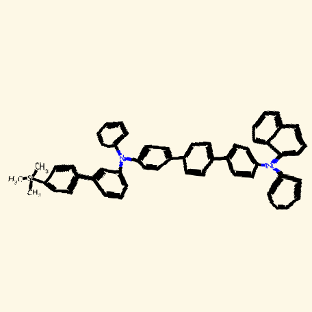 C[Si](C)(C)c1ccc(-c2cccc(N(c3ccccc3)c3ccc(-c4ccc(-c5ccc(N(c6ccccc6)c6cccc7ccccc67)cc5)cc4)cc3)c2)cc1